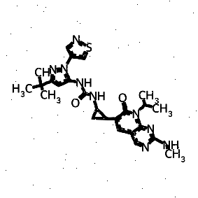 CNc1ncc2cc(C3CC3NC(=O)Nc3cc(C(C)(C)C)nn3-c3cnsc3)c(=O)n(C(C)C)c2n1